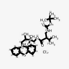 CC(C)C(CNC(=O)OC(C)(C)C)C(=O)OC[N+](C)(C)C(C)CN1c2ccccc2Sc2ccccc21.[Cl-]